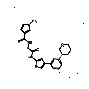 Cn1ccc(C(=O)NCC(=O)Nc2nc(-c3cccc([C@H]4CCCOC4)c3)cs2)c1